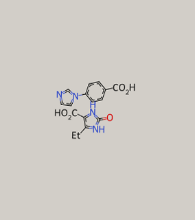 CCc1[nH]c(=O)[nH]c1C(=O)O.O=C(O)c1ccc(-n2ccnc2)cc1